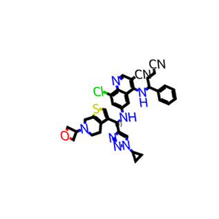 N#CCCC(Nc1c(C#N)cnc2c(Cl)cc(N[C@@H](c3cn(C4CC4)nn3)c3csc4c3CCN(C3COC3)C4)cc12)c1ccccc1